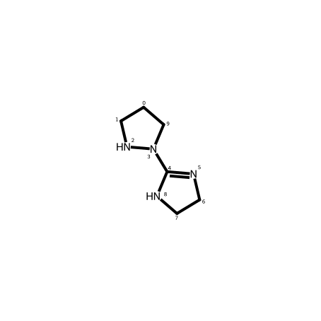 C1CNN(C2=NCCN2)C1